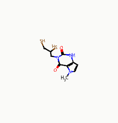 Cn1ccc2[nH]c(=O)n(CC(S)CS)c(=O)c21